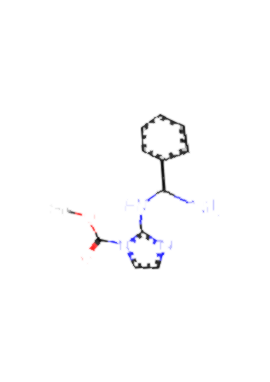 CC(C)(C)OC(=O)n1ccnc1NC(N)c1ccccc1